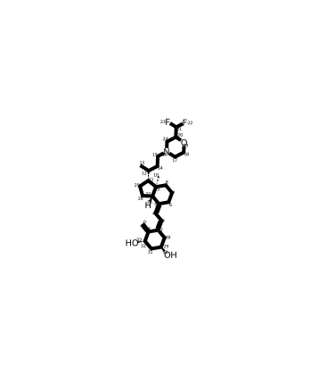 C=C1C(=CC=C2CCC[C@]3(C)[C@@H](C(C)CCN4CCOC(C(F)F)C4)CC[C@@H]23)C[C@@H](O)C[C@@H]1O